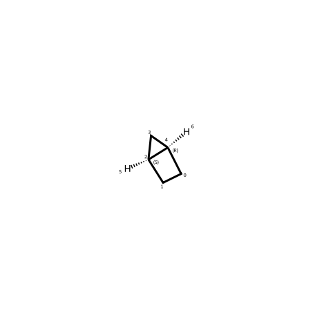 C1C[C@H]2C[C@@H]12